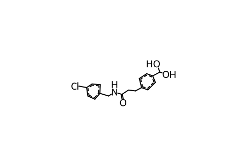 O=C(CCc1ccc(C(O)O)cc1)NCc1ccc(Cl)cc1